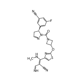 CN/C(=C(/C#N)C=N)c1csc(OC2CN(C(=O)N3N=CC[C@H]3c3cc(F)cc(C#N)c3)C2)n1